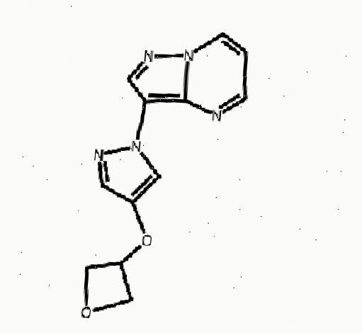 c1cnc2c(-n3cc(OC4COC4)cn3)cnn2c1